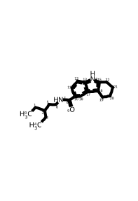 CCC(CC)CCNC(=O)c1ccc2[nH]c3c(c2c1)CCCC3